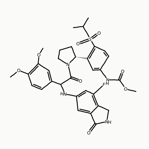 COC(=O)Nc1ccc(S(=O)(=O)C(C)C)c([C@H]2CCCN2C(=O)C(Nc2cc(F)c3c(c2)C(=O)NC3)c2ccc(OC)c(OC)c2)c1